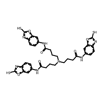 O=C(CCCN(CCCC(=O)Nc1ccc2nc(S)oc2c1)CCCC(=O)Nc1ccc2nc(S)oc2c1)Nc1ccc2nc(S)oc2c1